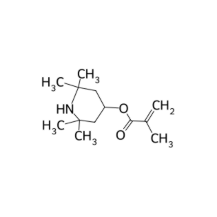 C=C(C)C(=O)OC1CC(C)(C)NC(C)(C)C1